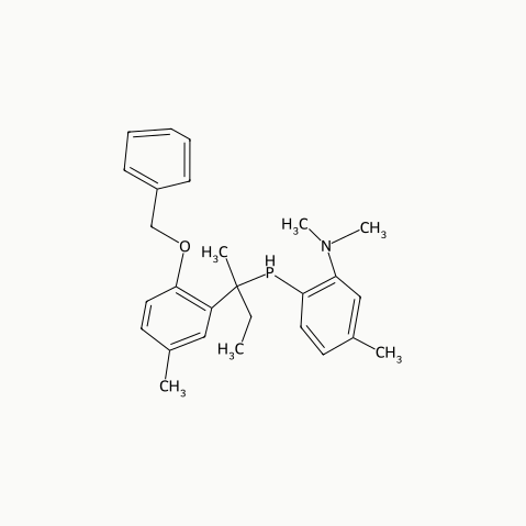 CCC(C)(Pc1ccc(C)cc1N(C)C)c1cc(C)ccc1OCc1ccccc1